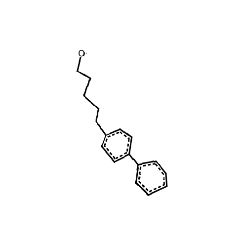 [O]CCCCCc1ccc(-c2ccccc2)cc1